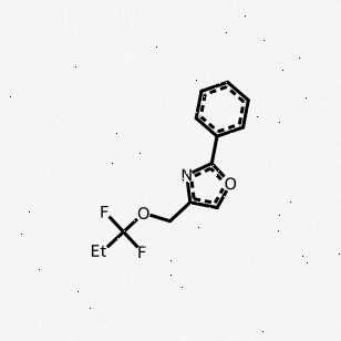 CCC(F)(F)OCc1coc(-c2ccccc2)n1